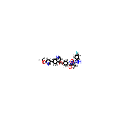 CC(C)Oc1ccc(-c2ccc3c(Oc4ccc(NC(=O)C5(C(=O)Nc6ccc(F)cc6)CC5)cc4)ccnc3c2)cn1